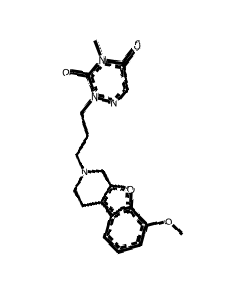 COc1cccc2c3c(oc12)CN(CCCn1ncc(=O)n(C)c1=O)CC3